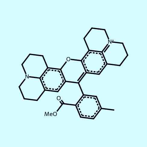 COC(=O)c1ccc(C)cc1C1=c2cc3c4c(c2Oc2c1cc1c5c2CCCN5CCC1)CCC[N+]=4CCC3